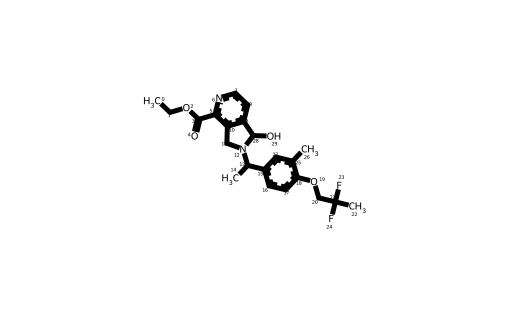 CCOC(=O)c1nccc2c1CN(C(C)c1ccc(OCC(C)(F)F)c(C)c1)C2O